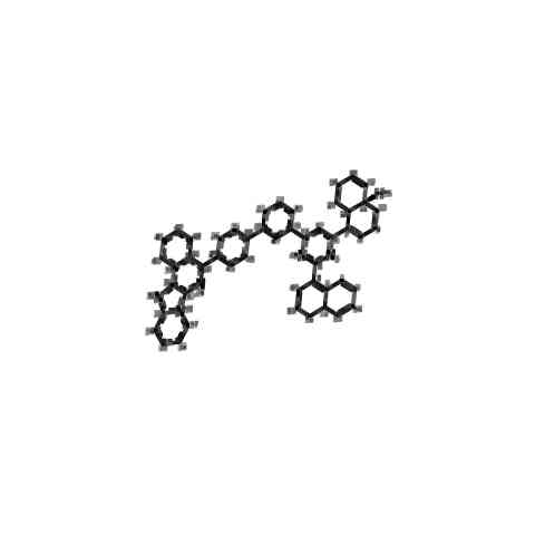 C1=CC2=C(c3nc(C4=CC=C[C@H]5C=CC=CC45)cc(-c4cccc(-c5ccc(-c6nc7c(nc8ccccn87)c7ccccc67)cc5)c4)n3)C=CCC2C=C1